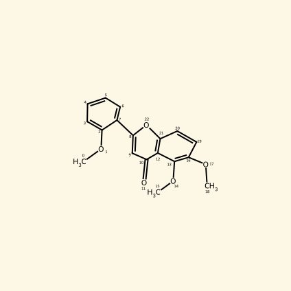 COc1ccccc1-c1cc(=O)c2c(OC)c(OC)ccc2o1